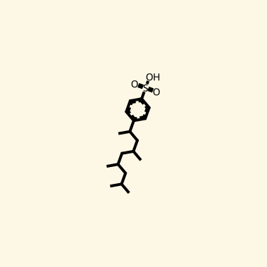 CC(C)CC(C)CC(C)CC(C)c1ccc(S(=O)(=O)O)cc1